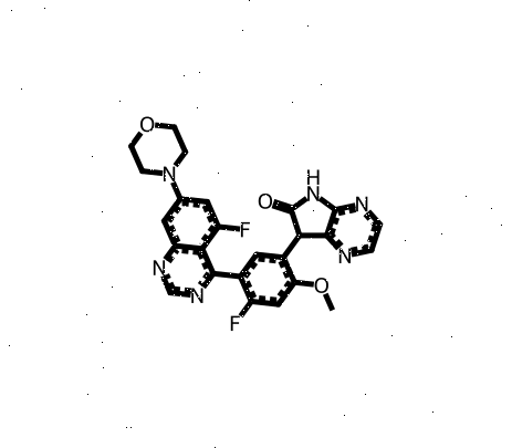 COc1cc(F)c(-c2ncnc3cc(N4CCOCC4)cc(F)c23)cc1C1C(=O)Nc2nccnc21